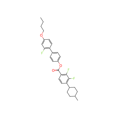 CCCCOc1ccc(-c2ccc(OC(=O)c3ccc(C4CCC(C)CC4)c(F)c3F)cc2)c(F)c1